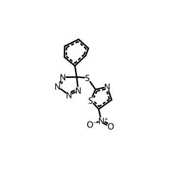 O=[N+]([O-])c1cnc(SC2(c3ccccc3)N=NN=N2)s1